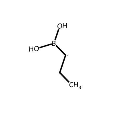 CC[CH]B(O)O